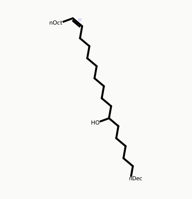 CCCCCCCC/C=C\CCCCCCCCC(O)CCCCCCCCCCCCCCC